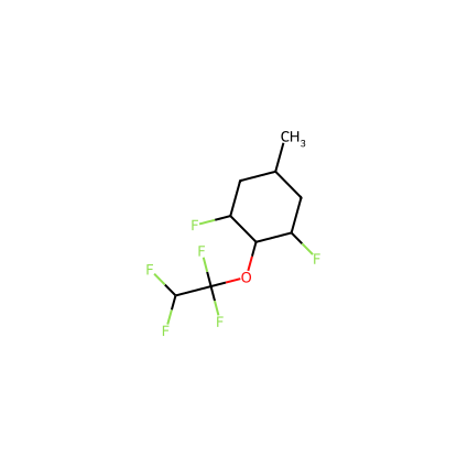 CC1CC(F)C(OC(F)(F)C(F)F)C(F)C1